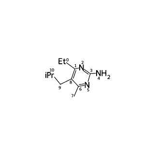 CCc1nc(N)nc(C)c1CC(C)C